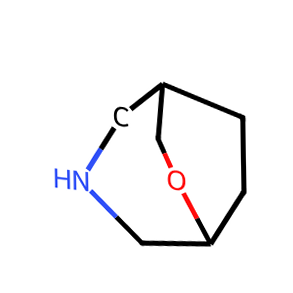 C1CC2CNCC1CO2